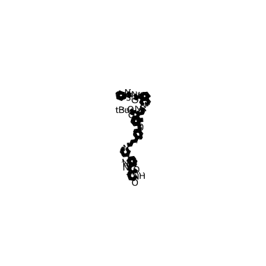 Cc1c(OC2CCC(CCCCN3CCC[C@@H](c4cccc5c(C6CCC(=O)NC6=O)nn(C)c45)C3)CC2)cccc1-c1ccc(N2CCc3cccc(C(=O)Nc4nc5ccccc5s4)c3C2)nc1C(=O)OC(C)(C)C